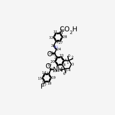 CC1(C)CCC(C)(C)c2c(NC(=O)c3ccc(F)cc3)cc(C(=O)/C=C/c3ccc(C(=O)O)cc3)cc21